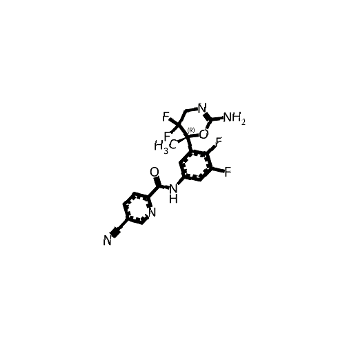 C[C@]1(c2cc(NC(=O)c3ccc(C#N)cn3)cc(F)c2F)OC(N)=NCC1(F)F